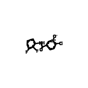 O=C(Nc1cccc(F)c1F)c1ccc(Cl)[n+]([O-])c1